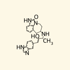 CC(C=Cc1ccc2[nH]cnc2c1)NC1CCn2c(=O)[nH]c3cccc(c32)C1O